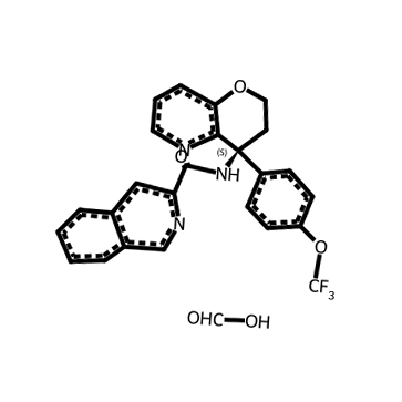 O=C(N[C@]1(c2ccc(OC(F)(F)F)cc2)CCOc2cccnc21)c1cc2ccccc2cn1.O=CO